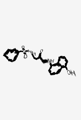 O=C(CNc1cccc2c(O)cccc12)CNS(=O)(=O)c1ccccc1